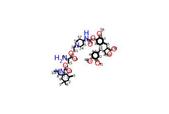 C=C1CC(C)(C)CC(CCC)(NC(=O)OC[C@H](N)C(=O)OCCN2CCC(NC(=O)Oc3ccc(C[C@H]4C(=O)OC[C@@H]4Cc4ccc(OC)c(OC)c4)cc3OC)CC2)C1